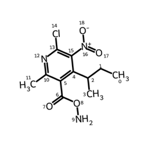 CCC(C)c1c(C(=O)ON)c(C)nc(Cl)c1[N+](=O)[O-]